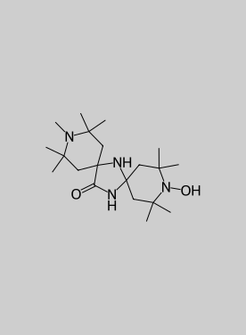 CN1C(C)(C)CC2(CC1(C)C)NC1(CC(C)(C)N(O)C(C)(C)C1)NC2=O